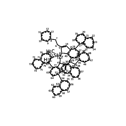 C[SiH](C)[Zr]([CH]1C(CCc2ccccc2)=Cc2c(-c3cccc4ccccc34)ccc(-c3cccc4ccccc34)c21)[CH]1C(CCc2ccccc2)=Cc2c(-c3cccc4ccccc34)ccc(-c3cccc4ccccc34)c21